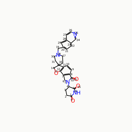 O=C1CCC(N2Cc3c(ccc4c3OCC43CCN(Cc4ccc5cnccc5c4)CC3)C2=O)C(=O)N1